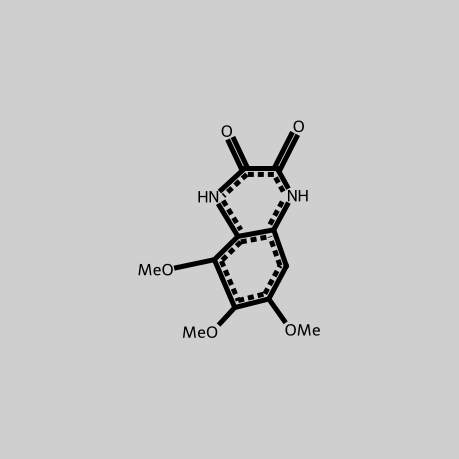 COc1cc2[nH]c(=O)c(=O)[nH]c2c(OC)c1OC